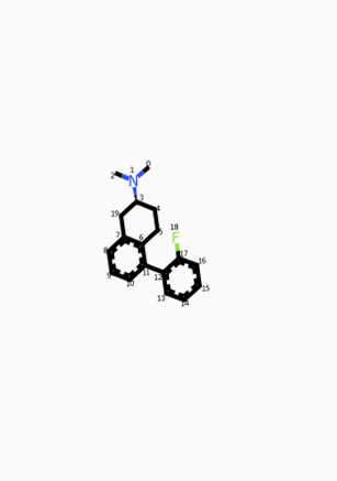 CN(C)[C@H]1CCc2c(cccc2-c2ccccc2F)C1